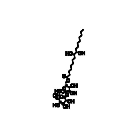 CCCCCCCCC(O)C(O)CCCCCCCC(=O)OC[C@H]1O[C@@](CO)(O[C@H]2OC(CO)[C@@H](O)[C@H](O)C2O)[C@H](O)C1O